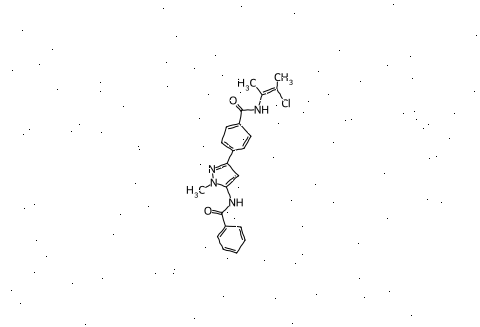 C/C(Cl)=C(\C)NC(=O)c1ccc(-c2cc(NC(=O)c3ccccc3)n(C)n2)cc1